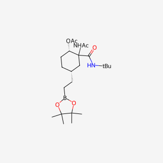 CC(=O)NC1(C(=O)NC(C)(C)C)C[C@H](CCB2OC(C)(C)C(C)(C)O2)CC[C@@H]1OC(C)=O